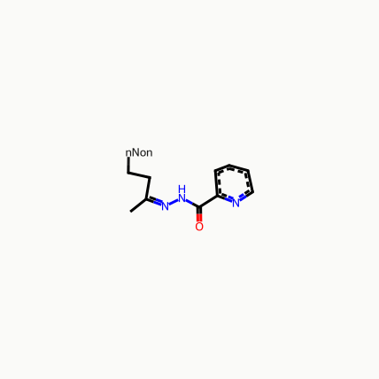 CCCCCCCCCCCC(C)=NNC(=O)c1ccccn1